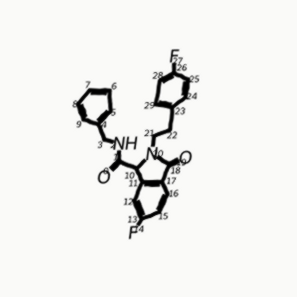 O=C(NCc1ccccc1)C1c2cc(F)ccc2C(=O)N1CCc1ccc(F)cc1